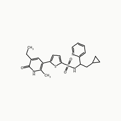 CCc1cc(-c2ccc(S(=O)(=O)NC(CC3CC3)c3ccccn3)s2)c(C)[nH]c1=O